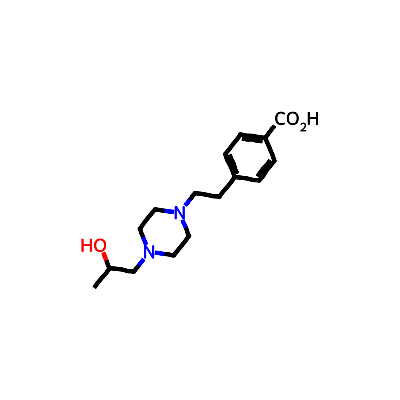 CC(O)CN1CCN(CCc2ccc(C(=O)O)cc2)CC1